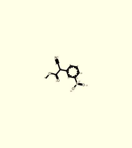 COC(=O)C(C#N)c1cccc([N+](=O)[O-])c1